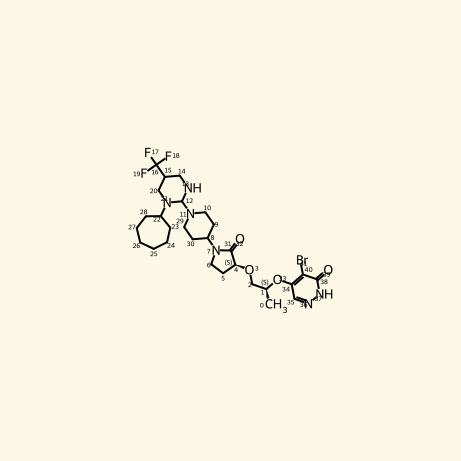 C[C@@H](CO[C@H]1CCN(C2CCN(C3NCC(C(F)(F)F)CN3C3CCCCCC3)CC2)C1=O)Oc1cn[nH]c(=O)c1Br